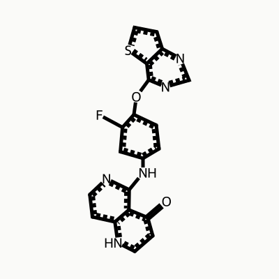 O=c1cc[nH]c2ccnc(Nc3ccc(Oc4ncnc5ccsc45)c(F)c3)c12